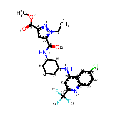 CCn1nc(C(=O)OC)cc1C(=O)N[C@@H]1CCC[C@H](Nc2cc(C(F)(F)F)nc3ccc(Cl)cc23)C1